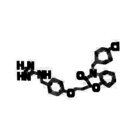 N=C(N)NCc1ccc(OCCC2Oc3ccccc3N(Cc3ccc(Cl)cc3)C2=O)cc1